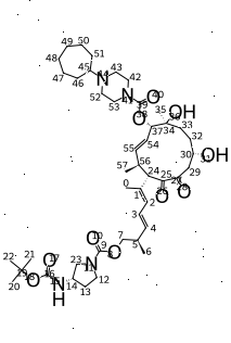 C/C(=C\C=C\[C@@H](C)COC(=O)N1CC[C@H](NC(=O)OC(C)(C)C)C1)[C@H]1C(=O)C(=O)C[C@@H](O)CC[C@](C)(O)[C@@H](OC(=O)N2CCN(C3CCCCCC3)CC2)/C=C/[C@@H]1C